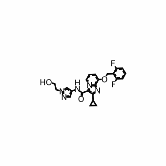 O=C(Nc1cnn(CCO)c1)c1c(C2CC2)nc2c(OCc3c(F)cccc3F)cccn12